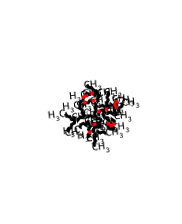 CCCCC[Si](C)(CCCCC)CCC[Si](C)(CCC[Si](C)(CCCCC)CCCCC)CCC[Si](CCC[Si](C)(CCC[Si](C)(CCCCC)CCCCC)CCC[Si](C)(CCCCC)CCCCC)(CCC[Si](C)(CCC[Si](C)(CCCCC)CCCCC)CCC[Si](C)(CCCCC)CCCCC)CCC[Si](C)(CCC[Si](C)(CCCCC)CCCCC)CCC[Si](C)(CCCCC)CCCCC